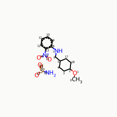 COC1CCC(CNc2ccccc2[N+](=O)[O-])CC1.N[SH](=O)=O